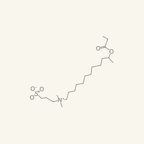 CCC(=O)OC(C)CCCCCCCCCC[N+](C)(C)CCCS(=O)(=O)[O-]